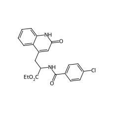 CCOC(=O)C(Cc1cc(=O)[nH]c2ccccc12)NC(=O)c1ccc(Cl)cc1